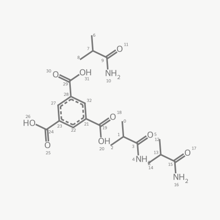 CC(C)C(N)=O.CC(C)C(N)=O.CC(C)C(N)=O.O=C(O)c1cc(C(=O)O)cc(C(=O)O)c1